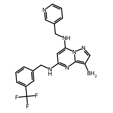 Bc1cnn2c(NCc3cccnc3)cc(NCc3cccc(C(F)(F)F)c3)nc12